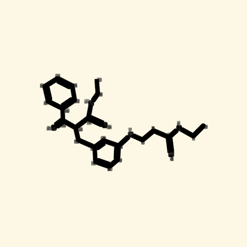 CCOC(=O)CCOc1cccc(CC(C(=O)OCC)C(=O)c2ccccc2)c1